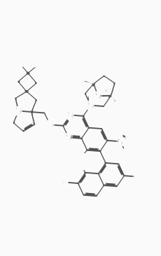 O=[N+]([O-])c1cc2c(N3C[C@H]4CC[C@@H](C3)N4)nc(OCC34C=CCN3CC3(CC(F)(F)C3)C4)nc2c(F)c1-c1cc(O)cc2ccc(F)c(F)c12